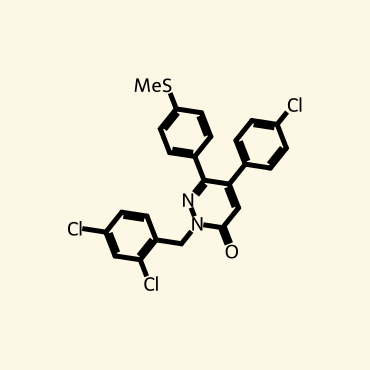 CSc1ccc(-c2nn(Cc3ccc(Cl)cc3Cl)c(=O)cc2-c2ccc(Cl)cc2)cc1